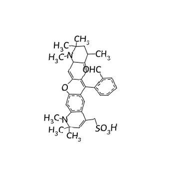 CC1CC(C)(C)N(C)C2C=C3Oc4cc5c(cc4C(c4ccccc4C=O)=C3C=C12)C(CS(=O)(=O)O)=CC(C)(C)N5C